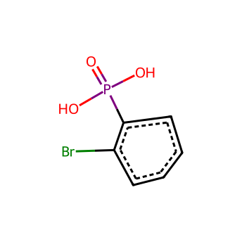 O=P(O)(O)c1ccccc1Br